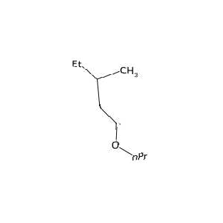 CCCO[CH]CC(C)CC